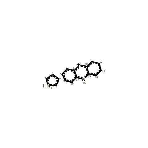 c1cc[nH]c1.c1ccc2nc3ccccc3nc2c1